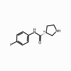 O=C(Nc1ccc(I)cc1)[C@@H]1CCNC1